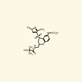 CCn1cc(S(=O)(=O)N2CC(CNC(=O)C(C)(C)O)Oc3ccc(NC(=O)O)cc32)c(C)n1